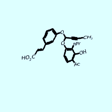 CC#CC(Oc1cccc(C=CC(=O)O)c1)Oc1ccc(C(C)=O)c(O)c1CCC